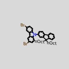 CCCCCCCCC1(CCCCCCCC)c2ccccc2-c2ccc(-n3c4ccc(Br)cc4c4cc(Br)ccc43)cc21